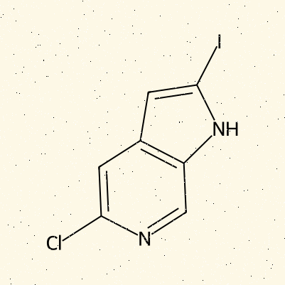 Clc1cc2cc(I)[nH]c2cn1